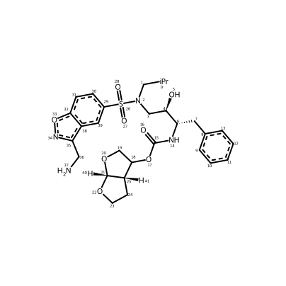 CC(C)CN(C[C@@H](O)[C@H](Cc1ccccc1)NC(=O)OC1CO[C@H]2OCC[C@@H]12)S(=O)(=O)c1ccc2onc(CN)c2c1